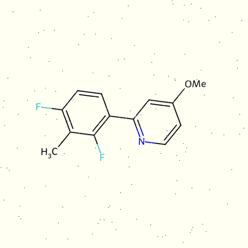 COc1ccnc(-c2ccc(F)c(C)c2F)c1